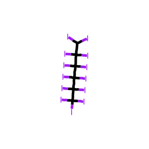 I[C](I)C(I)(I)C(I)(I)C(I)(I)C(I)(I)C(I)(I)I